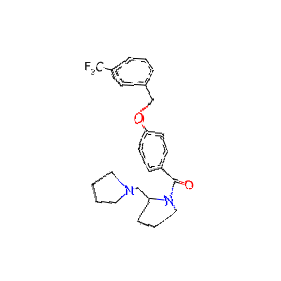 O=C(c1ccc(OCc2cccc(C(F)(F)F)c2)cc1)N1CCCC1CN1CCCC1